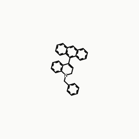 C1=C(c2c3ccccc3cc3ccccc23)c2ccccc2N(Cc2ccccc2)C1